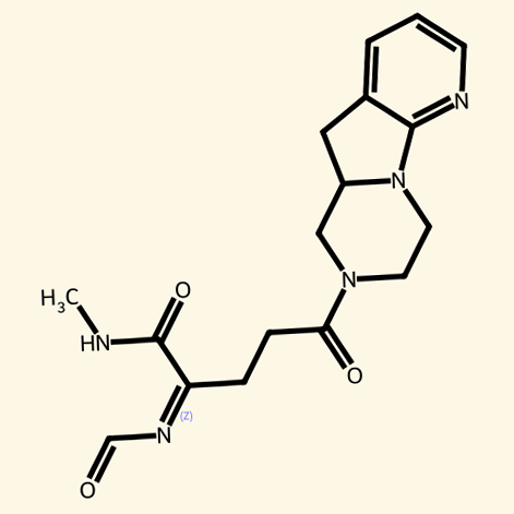 CNC(=O)/C(CCC(=O)N1CCN2c3ncccc3CC2C1)=N\C=O